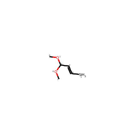 COC(C=C[SiH3])OC